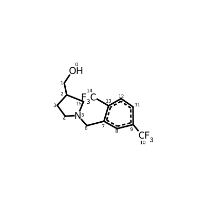 OCC1CCN(Cc2cc(C(F)(F)F)ccc2C(F)(F)F)C1